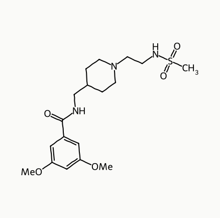 COc1cc(OC)cc(C(=O)NCC2CCN(CCNS(C)(=O)=O)CC2)c1